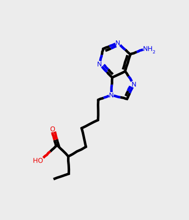 CCC(CCCCn1cnc2c(N)ncnc21)C(=O)O